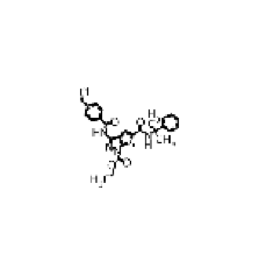 CCOC(=O)n1nc(NC(=O)c2ccc(CCl)cc2)c2cc(C(=O)NC(C)(C)c3ccccc3)sc21